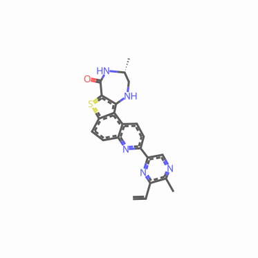 C=Cc1nc(-c2ccc3c(ccc4sc5c(c43)NC[C@@H](C)NC5=O)n2)cnc1C